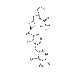 Cc1c(Cc2cccc(C(=O)N3CC(C[N+]4(OC(=O)C(F)(F)F)CCCC4)C3)c2F)n[nH]c(=O)c1C